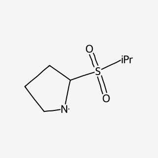 CC(C)S(=O)(=O)C1CCC[N]1